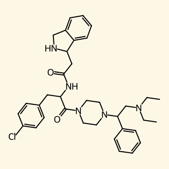 CCN(CC)CC(c1ccccc1)N1CCN(C(=O)C(Cc2ccc(Cl)cc2)NC(=O)CC2NCc3ccccc32)CC1